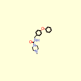 CN1CCN(C(=O)NCc2ccc(Oc3ccccc3)cc2)CC1